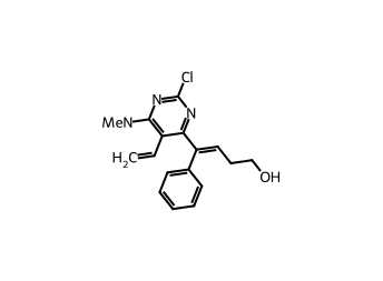 C=Cc1c(NC)nc(Cl)nc1C(=CCCO)c1ccccc1